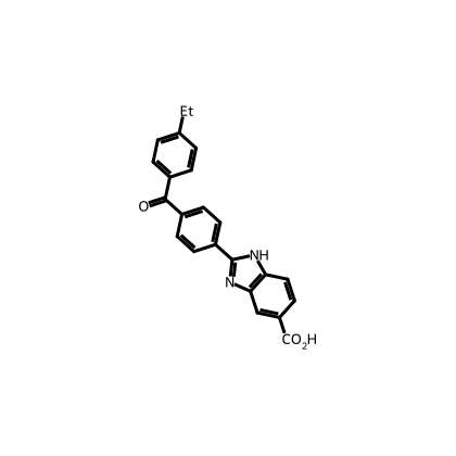 CCc1ccc(C(=O)c2ccc(-c3nc4cc(C(=O)O)ccc4[nH]3)cc2)cc1